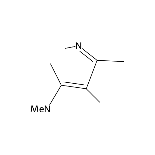 C/N=C(C)\C(C)=C(/C)NC